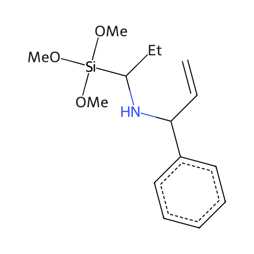 C=CC(NC(CC)[Si](OC)(OC)OC)c1ccccc1